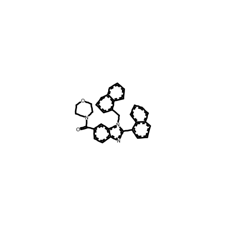 O=C(c1ccc2nc(-c3cccc4ccccc34)n(Cc3cccc4ccccc34)c2c1)N1CCOCC1